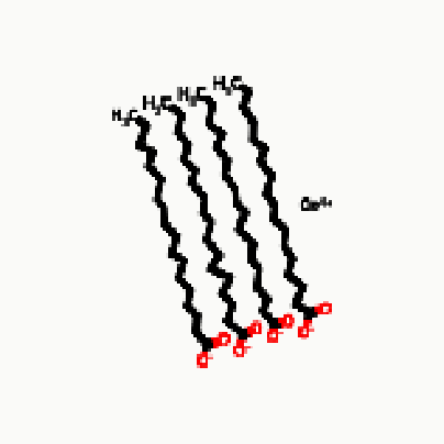 CCCCCCCCCCCCCCCCCC(=O)[O-].CCCCCCCCCCCCCCCCCC(=O)[O-].CCCCCCCCCCCCCCCCCC(=O)[O-].CCCCCCCCCCCCCCCCCC(=O)[O-].[Ge+4]